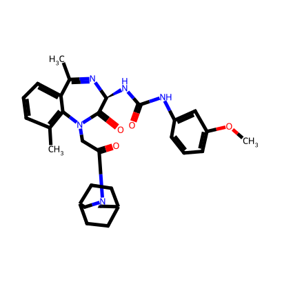 COc1cccc(NC(=O)N[C@@H]2N=C(C)c3cccc(C)c3N(CC(=O)N3CC4CCC(CC4)C3)C2=O)c1